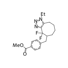 CCn1nnc2c1CCCCC(Cc1ccc(C(=O)OC)cc1)C2(F)F